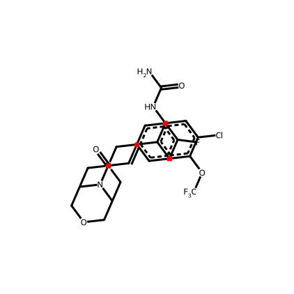 NC(=O)Nc1cc(Cl)c(OC(F)(F)F)cc1C=CC(=O)N1C2COCC1CN(Cc1ccc(F)cc1)C2